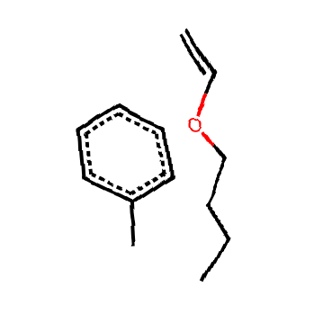 C=COCCCC.Cc1ccccc1